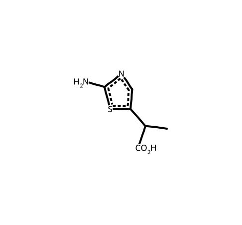 CC(C(=O)O)c1cnc(N)s1